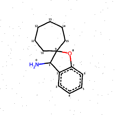 NC1c2ccccc2OC12CCCCCC2